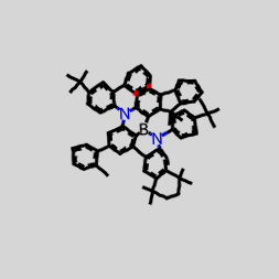 Cc1ccccc1-c1cc2c3c(c1)N(c1ccc(C(C)(C)C)cc1-c1ccccc1)c1ccc4c(c1B3N(c1ccc(C(C)(C)C)cc1)c1cc3c(cc1-2)C(C)(C)CCC3(C)C)C(C)(C)c1ccccc1-4